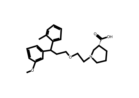 COc1cccc(C(CCOCCN2CCC[C@@H](C(=O)O)C2)c2ccccc2C)c1